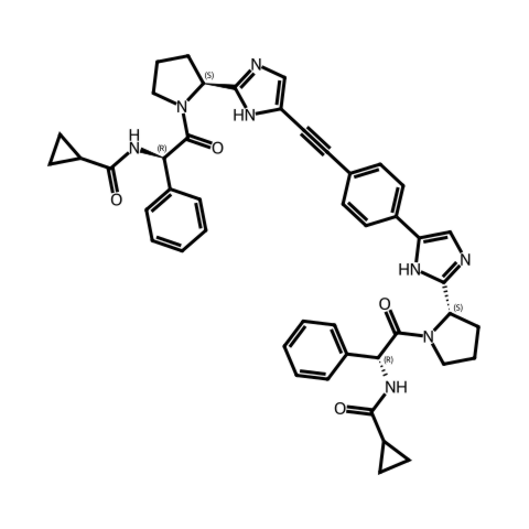 O=C(N[C@@H](C(=O)N1CCC[C@H]1c1ncc(C#Cc2ccc(-c3cnc([C@@H]4CCCN4C(=O)[C@H](NC(=O)C4CC4)c4ccccc4)[nH]3)cc2)[nH]1)c1ccccc1)C1CC1